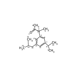 CC(=O)N(C)c1cc(C(C)C)cc(CC(C)C)n1